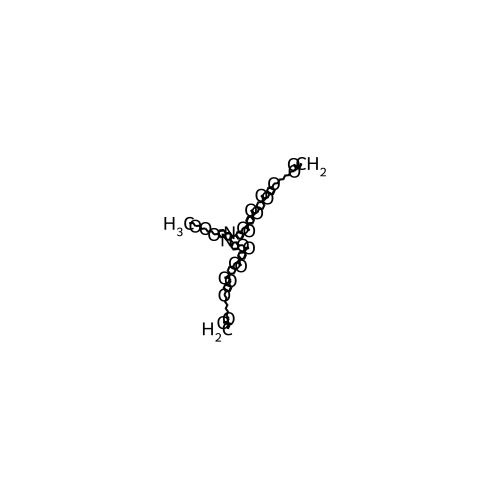 C=CC(=O)OCCCCCCOc1ccc(OC(=O)C2CCC(OC(=O)c3ccc(C(=O)Oc4cccc(-c5nc6ccc(OCCOCCOCC)cc6nc5-c5cccc(OC(=O)c6ccc(C(=O)OC7CCC(C(=O)Oc8ccc(OCCCCCCOC(=O)C=C)cc8)CC7)cc6)c5)c4)cc3)CC2)cc1